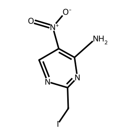 Nc1nc(CI)ncc1[N+](=O)[O-]